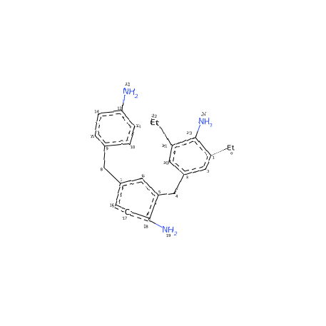 CCc1cc(Cc2cc(Cc3ccc(N)cc3)ccc2N)cc(CC)c1N